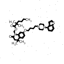 CCCCC(C)(C)C(=O)OCN1C(=O)CC(C)(C)c2ccc(OCCCCN3CCN(c4cccc5sccc45)CC3)cc21